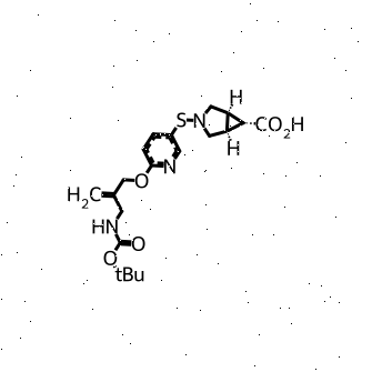 C=C(CNC(=O)OC(C)(C)C)COc1ccc(SN2C[C@@H]3[C@H](C2)[C@H]3C(=O)O)cn1